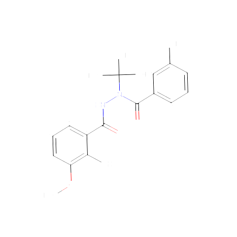 COc1cccc(C(=O)NN(C(=O)c2cccc(C)c2)C(C)(C)C)c1C